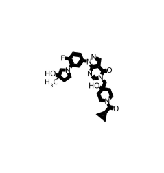 C[C@]1(O)CCN(c2cc(-n3ncc4c(=O)n(CC5(O)CCN(C(=O)C6CC6)CC5)cnc43)ccc2F)C1